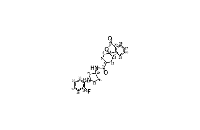 O=C1OC2(CCC(C(=O)N[C@H]3CCN(c4ccccc4F)C3)CC2)c2ccccc21